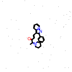 CC(C(=O)/C=C/c1c(-c2ccccc2)nn2ccccc12)N1CCCCC1